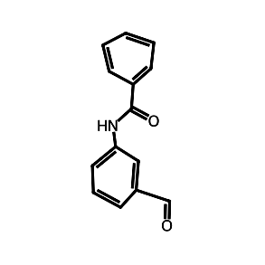 O=Cc1cccc(NC(=O)c2ccccc2)c1